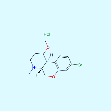 COC1CCN(C)[C@H]2COc3cc(Br)ccc3[C@H]12.Cl